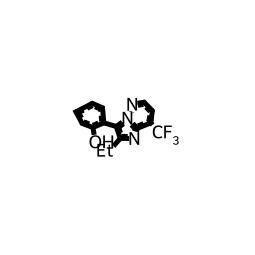 CCc1nc2c(C(F)(F)F)ccnn2c1-c1ccccc1O